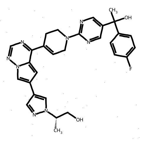 C[C@@H](CO)n1cc(-c2cc3c(C4=CCN(c5ncc(C(C)(O)c6ccc(F)cc6)cn5)CC4)ncnn3c2)cn1